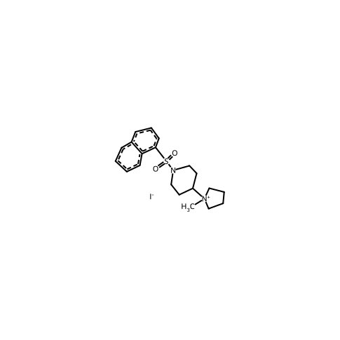 C[N+]1(C2CCN(S(=O)(=O)c3cccc4ccccc34)CC2)CCCC1.[I-]